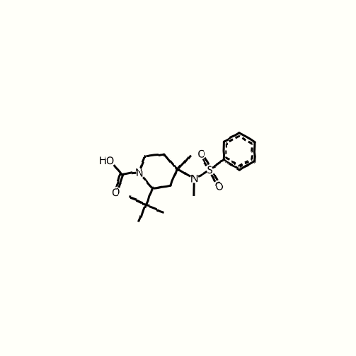 CN(C1(C)CCN(C(=O)O)C(C(C)(C)C)C1)S(=O)(=O)c1ccccc1